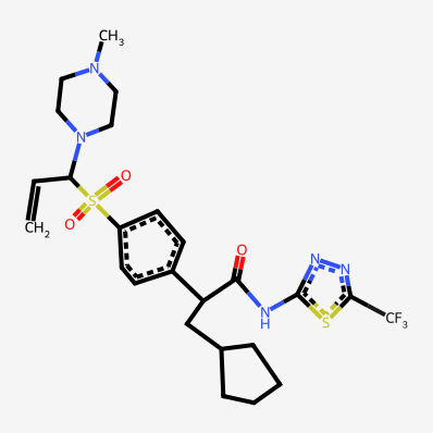 C=CC(N1CCN(C)CC1)S(=O)(=O)c1ccc(C(CC2CCCC2)C(=O)Nc2nnc(C(F)(F)F)s2)cc1